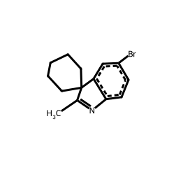 CC1=Nc2ccc(Br)cc2C12CCCCC2